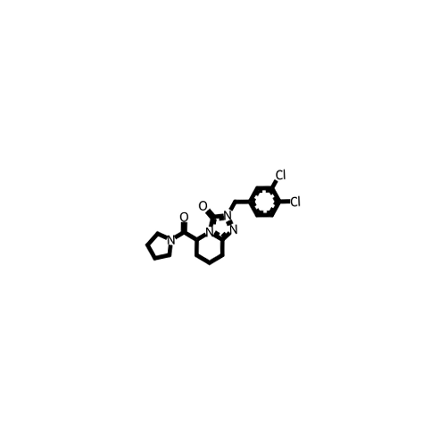 O=C(C1CCCc2nn(Cc3ccc(Cl)c(Cl)c3)c(=O)n21)N1CCCC1